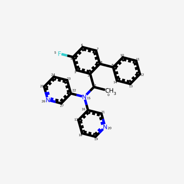 CC(c1cc(F)ccc1-c1ccccc1)N(c1cccnc1)c1cccnc1